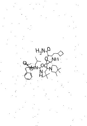 CC(C)[C@@H](CS(=O)(=O)Cc1ccccc1)NC(=O)N[C@H](C(=O)N1CC(C)C(C)(C)C[C@H]1C(=O)NC(CC1CCC1)C(=O)C(N)=O)C(C)(C)C